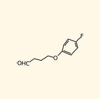 O=[C]CCCOc1ccc(F)cc1